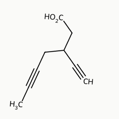 C#CC(CC#CC)CC(=O)O